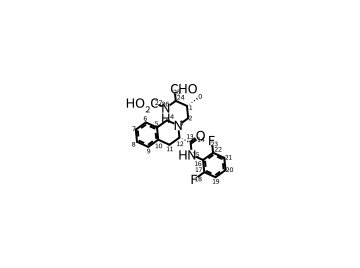 C[C@H](CN1Cc2ccccc2C[C@H]1C(=O)Nc1c(F)cccc1F)C(C=O)NC(=O)O